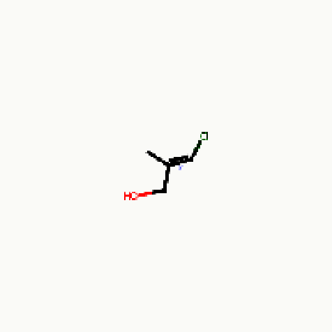 C/C(=C\Cl)CO